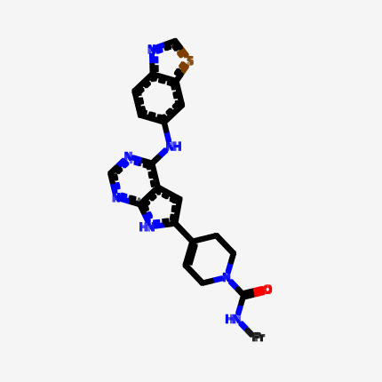 CC(C)NC(=O)N1CC=C(c2cc3c(Nc4ccc5ncsc5c4)ncnc3[nH]2)CC1